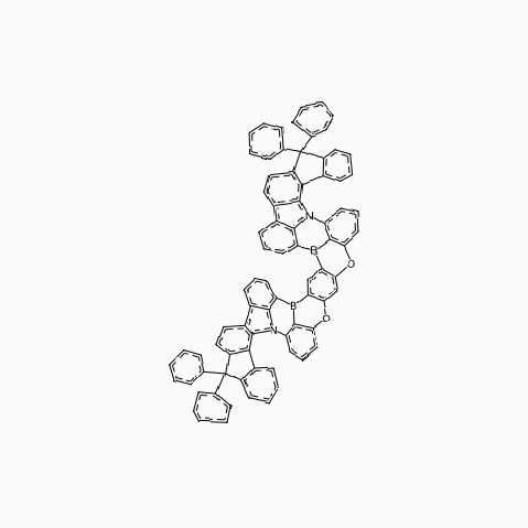 c1ccc(C2(c3ccccc3)c3ccccc3-c3c2ccc2c4cccc5c4n(c32)-c2cccc3c2B5c2cc4c(cc2O3)Oc2cccc3c2B4c2cccc4c5ccc6c(c5n-3c24)-c2ccccc2C6(c2ccccc2)c2ccccc2)cc1